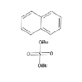 CC(C)COS(=O)(=O)OCC(C)C.c1ccc2ccccc2c1